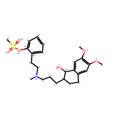 COc1cc2c(cc1OC)C(O)C(CCCN(C)CCc1ccccc1OS(C)(=O)=O)CC2